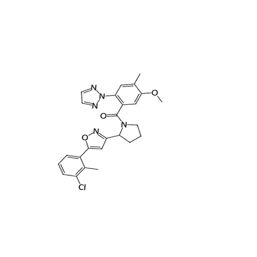 COc1cc(C(=O)N2CCCC2c2cc(-c3cccc(Cl)c3C)on2)c(-n2nccn2)cc1C